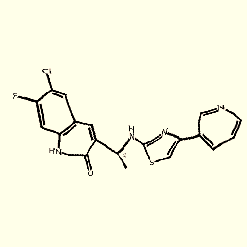 C[C@H](Nc1nc(-c2cccnc2)cs1)c1cc2cc(Cl)c(F)cc2[nH]c1=O